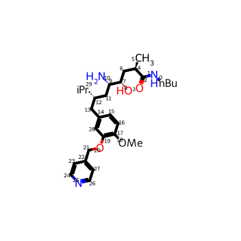 CCCCNC(=O)[C@H](C)C[C@H](O)[C@@H](N)C[C@H](Cc1ccc(OC)c(OCc2ccncc2)c1)C(C)C